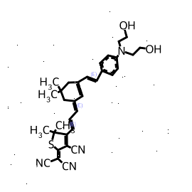 CC1(C)CC(/C=C/c2ccc(N(CCO)CCO)cc2)=CC(=C/C=C/C2=C(C#N)C(=C(C#N)C#N)SC2(C)C)/C1